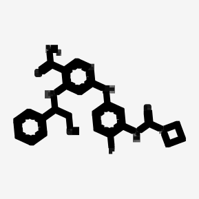 NC(=O)c1cnc(Nc2ccc(F)c(NC(=O)N3CCC3)c2)cc1NC(CO)c1ccccc1